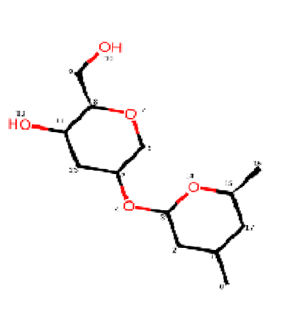 CC1CC(OC2CO[C@H](CO)C(O)C2)O[C@@H](C)C1